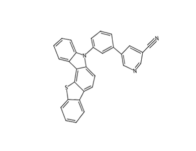 N#Cc1cncc(-c2cccc(-n3c4ccccc4c4c5sc6ccccc6c5ccc43)c2)c1